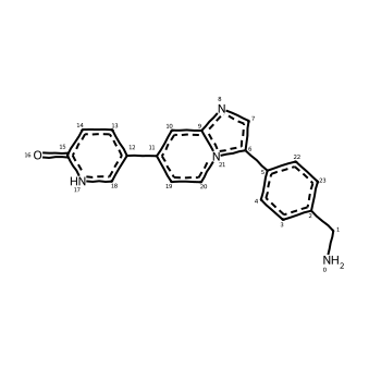 NCc1ccc(-c2cnc3cc(-c4ccc(=O)[nH]c4)ccn23)cc1